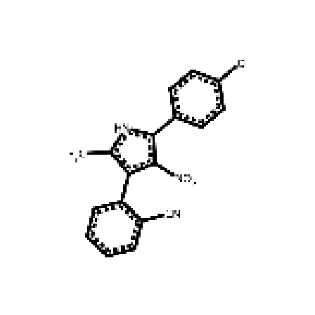 N#Cc1ccccc1-c1c(C(F)(F)F)[nH]c(-c2ccc(Cl)cc2)c1[N+](=O)[O-]